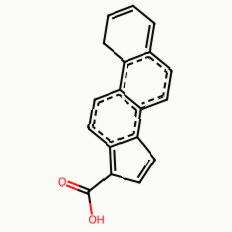 O=C(O)C1=c2ccc3c4c(ccc3c2C=C1)=CC=CC4